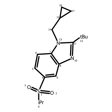 CC(C)S(=O)(=O)c1ccc2c(c1)nc(C(C)(C)C)n2CC1CC1